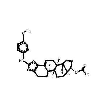 CCC(=O)O[C@H]1CC[C@H]2[C@@H]3CC=C4c5sc(Nc6ccc(OC(F)(F)F)cc6)nc5CC[C@]4(C)[C@H]3CC[C@]12C